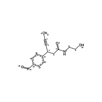 CC#CC(CC(=O)NCCO)c1ccc(P=O)cc1